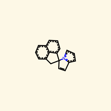 C1=CC2(Cc3cccc4cccc2c34)n2cccc21